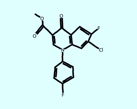 COC(=O)c1cn(-c2ccc(F)cc2)c2cc(Cl)c(F)cc2c1=O